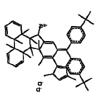 CC1=CC(C)C(C2=C(C)C3(C)C(=CC2=C(c2ccc(C(C)(C)C)cc2)c2ccc(C(C)(C)C)cc2)[CH]([Zr+2])C2(C)C4(C)C=CC=CC4(C)C4(C)C=CC=CC4(C)C32C)=C1.[Cl-].[Cl-]